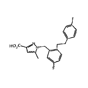 Cc1cc(C(=O)O)nn1Cc1cc(F)ccc1CCc1ccc(F)cc1